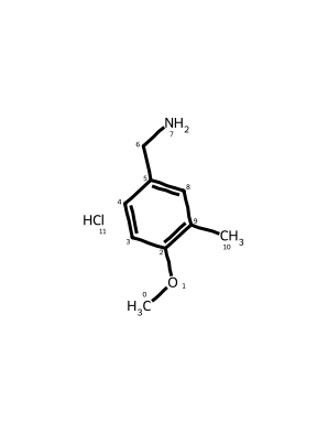 COc1ccc(CN)cc1C.Cl